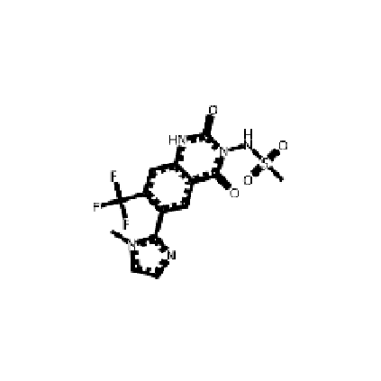 Cn1ccnc1-c1cc2c(=O)n(NS(C)(=O)=O)c(=O)[nH]c2cc1C(F)(F)F